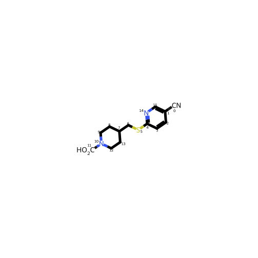 N#Cc1ccc(SCC2CCN(C(=O)O)CC2)nc1